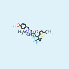 Cc1ccc(C(CC(=O)NC[C@H](Cc2ccc(O)cc2)N(C)C)C2(C(F)(F)F)CC2)s1